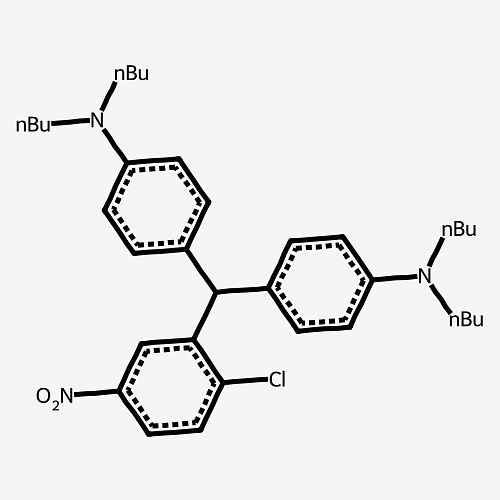 CCCCN(CCCC)c1ccc(C(c2ccc(N(CCCC)CCCC)cc2)c2cc([N+](=O)[O-])ccc2Cl)cc1